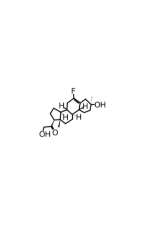 C[C@]1(O)CC[C@H]2C(=C(F)C[C@@H]3[C@@H]2CC[C@]2(C)[C@@H](C(=O)CO)CC[C@@H]32)C1